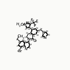 CCc1cc(Br)c2nccc(N3CCc4c(cc(Cn5ccnc5)cc4-c4cn(C)nc4C(F)(F)F)C3=O)c2c1